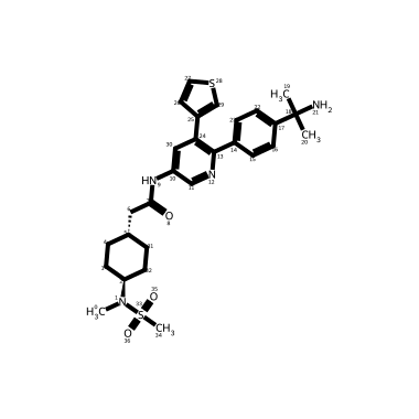 CN([C@H]1CC[C@H](CC(=O)Nc2cnc(-c3ccc(C(C)(C)N)cc3)c(-c3ccsc3)c2)CC1)S(C)(=O)=O